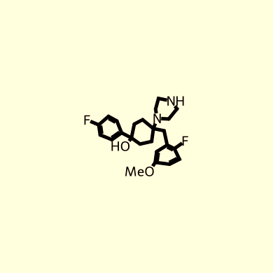 COc1ccc(F)c(CC2(N3CCNCC3)CCC(O)(c3ccc(F)cc3)CC2)c1